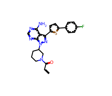 C=CC(=O)N1CCCC(n2nc(-c3ccc(-c4ccc(F)cc4)s3)c3c(N)ncnc32)C1